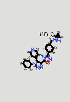 O=C(O)C1(NCc2ccc(-c3noc(-c4nnn([C@H]5C=CC=CC5F)c4-c4ccncc4)n3)cc2)CC1